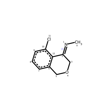 C/N=C1\COCc2cccc(Cl)c21